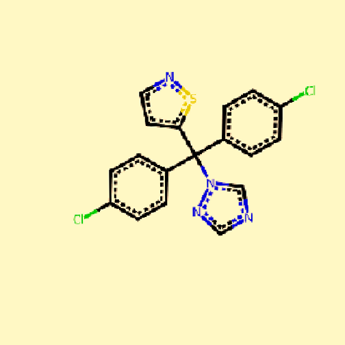 Clc1ccc(C(c2ccc(Cl)cc2)(c2ccns2)n2cncn2)cc1